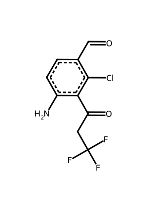 Nc1ccc(C=O)c(Cl)c1C(=O)CC(F)(F)F